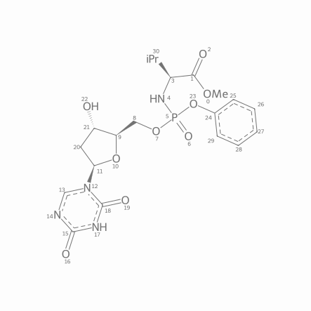 COC(=O)[C@@H](NP(=O)(OC[C@H]1O[C@@H](n2cnc(=O)[nH]c2=O)C[C@@H]1O)Oc1ccccc1)C(C)C